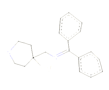 CCOC(=O)C1(CN=C(c2ccccc2)c2ccccc2)CCNCC1